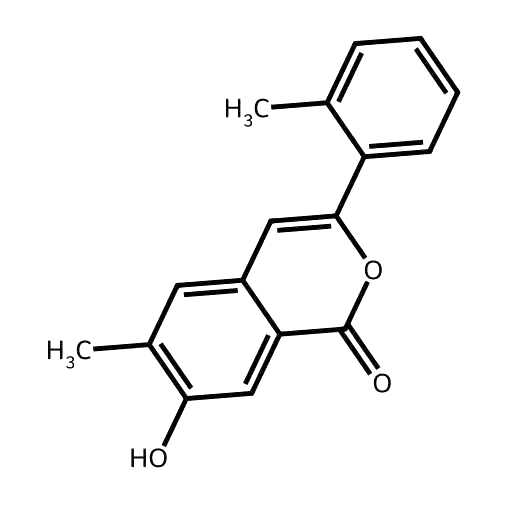 Cc1cc2cc(-c3ccccc3C)oc(=O)c2cc1O